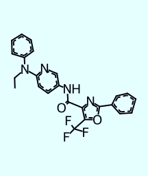 CCN(c1ccccc1)c1ccc(NC(=O)c2nc(-c3ccccc3)oc2C(F)(F)F)cn1